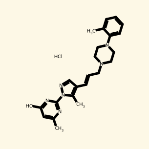 Cc1cc(O)nc(-n2ncc(/C=C/CN3CCN(c4ccccc4C)CC3)c2C)n1.Cl